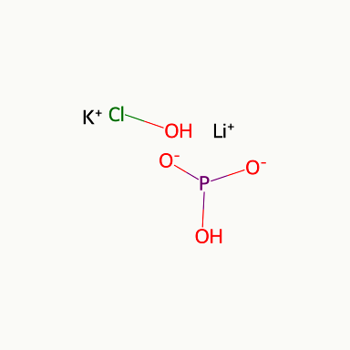 OCl.[K+].[Li+].[O-]P([O-])O